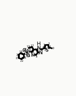 Cc1ccc(-c2nc3cnc4c(ccn4S(=O)(=O)c4ccccc4)c3[nH]2)s1